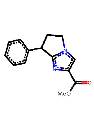 COC(=O)c1cn2c(n1)C(c1ccccc1)CC2